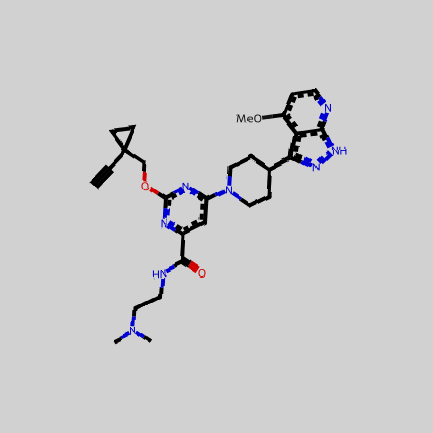 C#CC1(COc2nc(C(=O)NCCN(C)C)cc(N3CCC(c4n[nH]c5nccc(OC)c45)CC3)n2)CC1